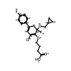 O=C(O)CCCOC1=C(Cl)C=C(c2ccc(F)cc2)CC1(F)OCC1CC1